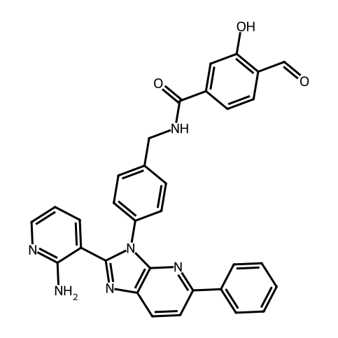 Nc1ncccc1-c1nc2ccc(-c3ccccc3)nc2n1-c1ccc(CNC(=O)c2ccc(C=O)c(O)c2)cc1